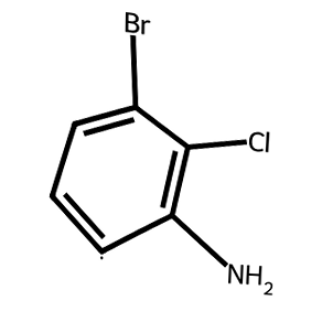 Nc1[c]ccc(Br)c1Cl